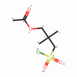 CC(=O)OCC(C)(C)CS(=O)(=O)Cl